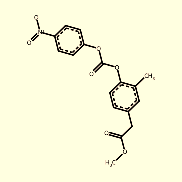 COC(=O)Cc1ccc(OC(=O)Oc2ccc([N+](=O)[O-])cc2)c(C)c1